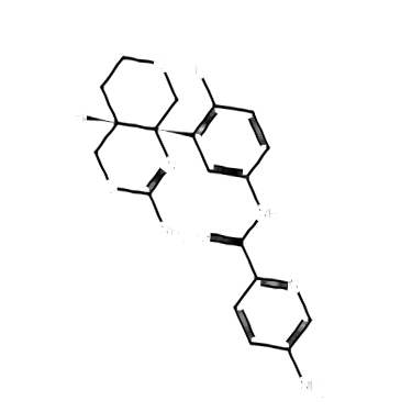 NC1=N[C@@]2(c3cc(NC(=O)c4ccc(N)cn4)ccc3F)COCC[C@H]2CS1